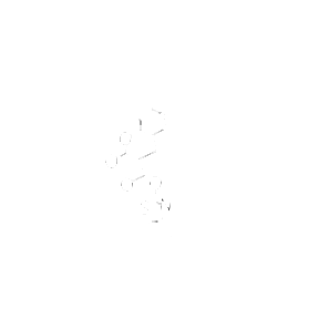 Cc1nc(OC(=O)c2c(C)c3ccccc3oc2=O)sc1C